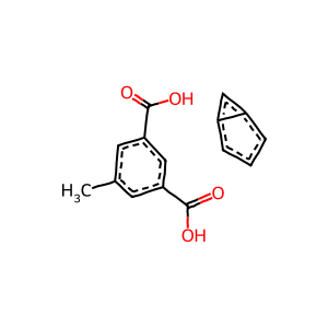 Cc1cc(C(=O)O)cc(C(=O)O)c1.c1cc2cc-2c1